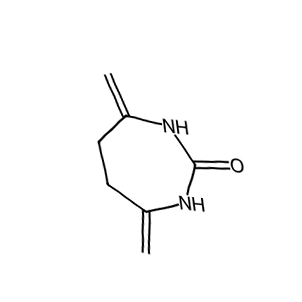 C=C1CCC(=C)NC(=O)N1